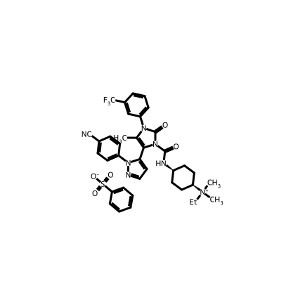 CC[N+](C)(C)[C@H]1CC[C@@H](NC(=O)n2c(-c3ccnn3-c3ccc(C#N)cc3)c(C)n(-c3cccc(C(F)(F)F)c3)c2=O)CC1.O=S(=O)([O-])c1ccccc1